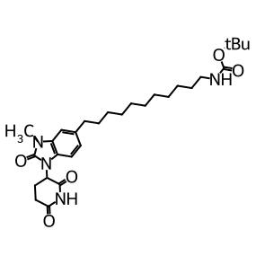 Cn1c(=O)n(C2CCC(=O)NC2=O)c2ccc(CCCCCCCCCCCNC(=O)OC(C)(C)C)cc21